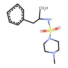 CN1CCN(S(=O)(=O)NC(Cc2ccccc2)C(=O)O)CC1